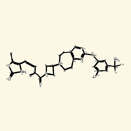 Cc1oc(=O)[nH]c1/C=C\C(C)C(=O)N1CC(N2CCc3cnc(Nc4cc(Cl)cc(C(F)(F)P)c4)nc3CC2)C1